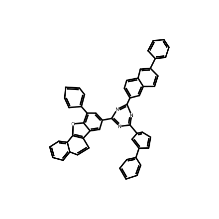 c1ccc(-c2cccc(-c3nc(-c4ccc5cc(-c6ccccc6)ccc5c4)nc(-c4cc(-c5ccccc5)c5oc6c7ccccc7ccc6c5c4)n3)c2)cc1